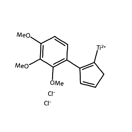 COc1ccc(C2=[C]([Ti+2])CC=C2)c(OC)c1OC.[Cl-].[Cl-]